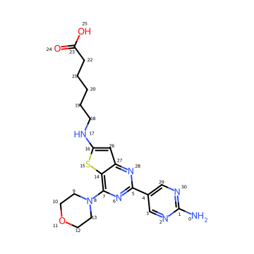 Nc1ncc(-c2nc(N3CCOCC3)c3sc(NCCCCCC(=O)O)cc3n2)cn1